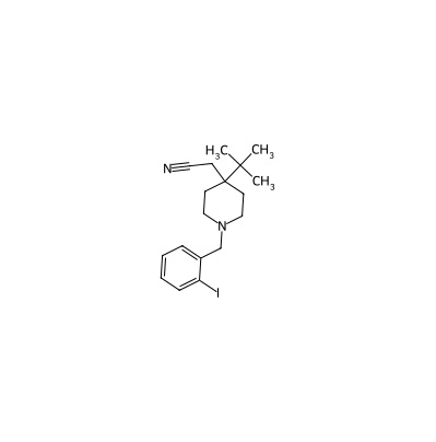 CC(C)(C)C1(CC#N)CCN(Cc2ccccc2I)CC1